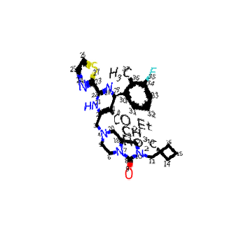 CCOC(=O)C1=C(CN2CCN3C(=O)N(CC4(C(=O)O)CCC4)C[C@]3(C)C2)NC(c2nccs2)=N[C@H]1c1cccc(F)c1C